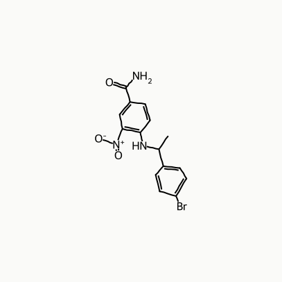 CC(Nc1ccc(C(N)=O)cc1[N+](=O)[O-])c1ccc(Br)cc1